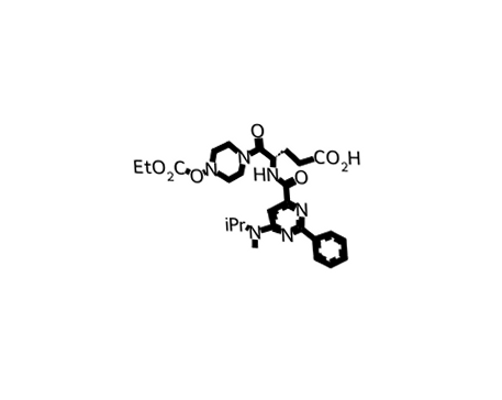 CCOC(=O)ON1CCN(C(=O)[C@H](CCC(=O)O)NC(=O)c2cc(N(C)C(C)C)nc(-c3ccccc3)n2)CC1